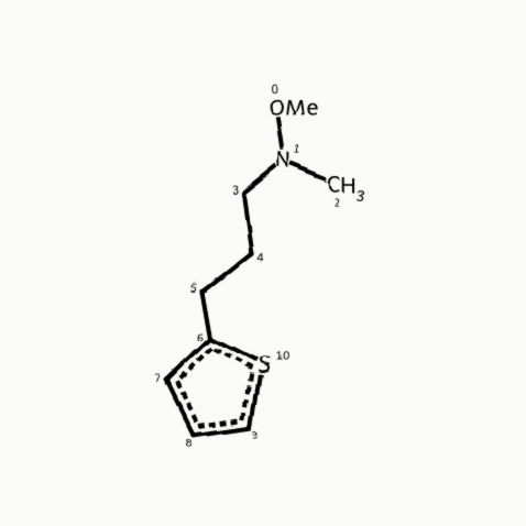 CON(C)CCCc1cccs1